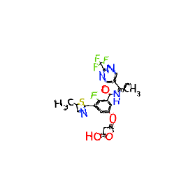 Cc1cnc(-c2cc(O[C@H]3CO[C@H](O)C3)cc(C(=O)N[C@H](C)c3cnc(C(F)(F)F)nc3)c2F)s1